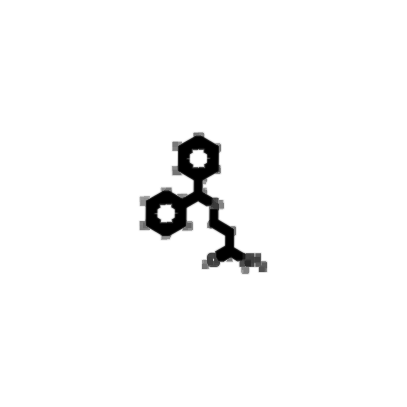 NC(=O)CCSC(c1ccccc1)c1ccccc1